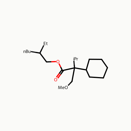 CCCCC(CC)COC(=O)C(COC)(C(C)C)C1CCCCC1